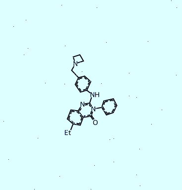 CCc1ccc2nc(Nc3ccc(CN4CCC4)cc3)n(-c3ccccc3)c(=O)c2c1